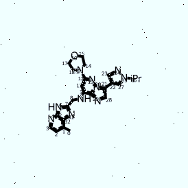 Cc1ccnc2[nH]c(CNc3cc(N4CCOCC4)nn4c(-c5cnn(C(C)C)c5)cnc34)nc12